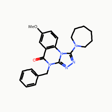 COc1ccc2c(c1)c(=O)n(Cc1ccccc1)c1nnc(N3CCCCCC3)n21